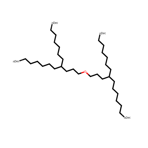 CCCCCCCCCCCCCCCCC(CCCCCCCCCCCCCCCC)CCCOCCCC(CCCCCCCCCCCCCCCC)CCCCCCCCCCCCCCCC